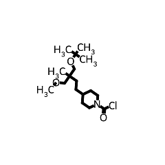 COCC(C)(CCC1CCN(C(=O)Cl)CC1)COC(C)(C)C